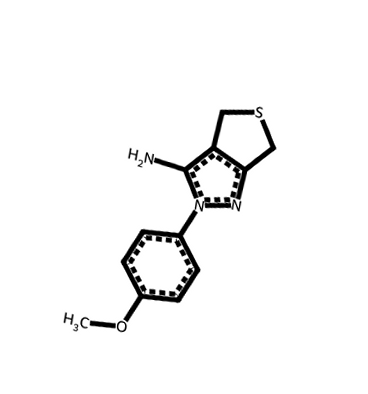 COc1ccc(-n2nc3c(c2N)CSC3)cc1